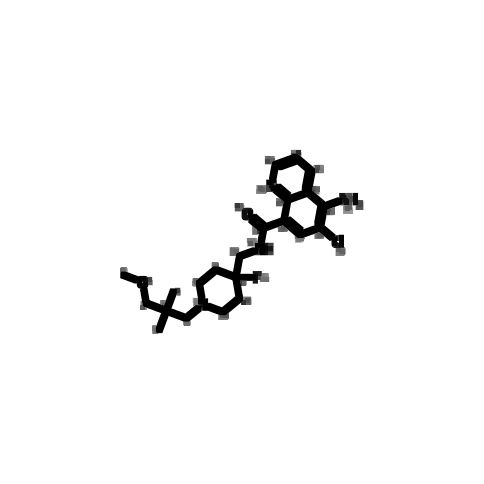 COCC(C)(C)CN1CCC(F)(CNC(=O)c2cc(Cl)c(N)c3cccnc23)CC1